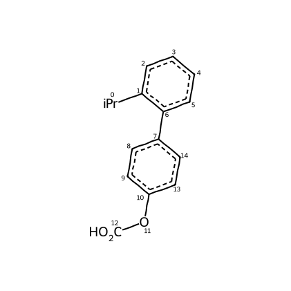 CC(C)c1ccccc1-c1ccc(OC(=O)O)cc1